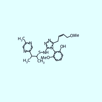 COC/C=C\Cc1nnc(NSC(C)C(C)c2cnc(C)cn2)n1-c1c(O)cccc1OC